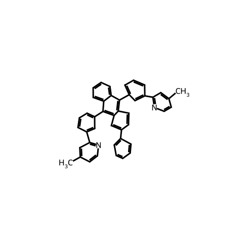 Cc1ccnc(-c2cccc(-c3c4ccccc4c(-c4cccc(-c5cc(C)ccn5)c4)c4cc(-c5ccccc5)ccc34)c2)c1